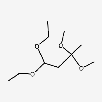 CCOC(CC(C)(OC)OC)OCC